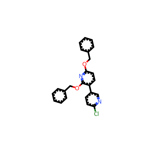 Clc1ccc(-c2ccc(OCc3ccccc3)nc2OCc2ccccc2)cn1